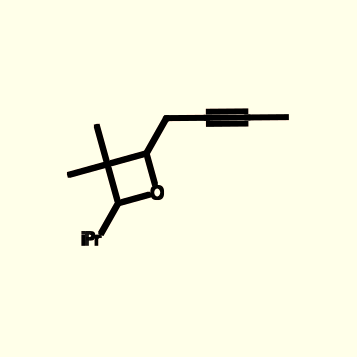 CC#CCC1OC(C(C)C)C1(C)C